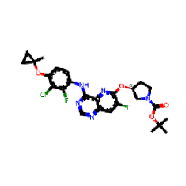 CC(C)(C)OC(=O)N1CC[C@H](Oc2nc3c(Nc4ccc(OC5(C)CC5)c(Cl)c4F)ncnc3cc2F)C1